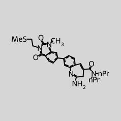 CCCN(CCC)C(=O)C1=Cc2ccc(-c3ccc4c(=O)n(CCSC)c(=O)n(C)c4c3)cc2N=C(N)C1